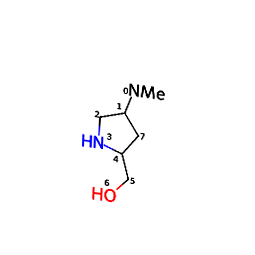 CNC1CNC(CO)C1